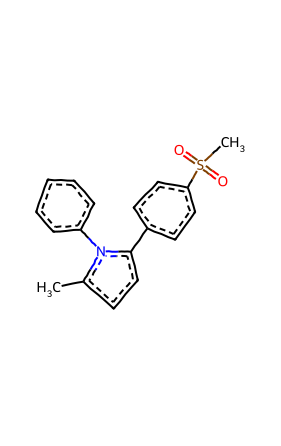 Cc1ccc(-c2ccc(S(C)(=O)=O)cc2)n1-c1ccccc1